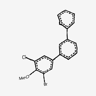 COc1c(Cl)cc(-c2cccc(-c3ccccc3)c2)cc1Br